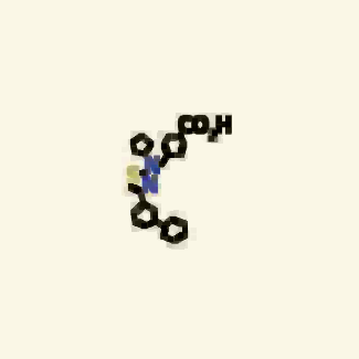 O=C(O)c1ccc(CN(c2nc(-c3cccc(-c4ccccc4)c3)cs2)C2CCCC2)cc1